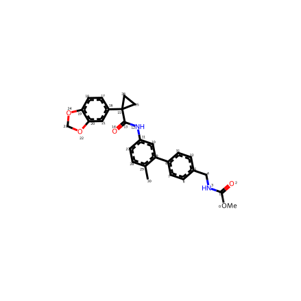 COC(=O)NCc1ccc(-c2cc(NC(=O)C3(c4ccc5c(c4)OCO5)CC3)ccc2C)cc1